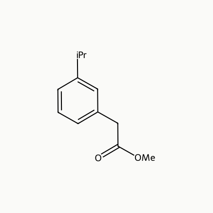 COC(=O)Cc1cccc(C(C)C)c1